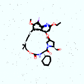 CCOc1cc2c3cc(c(OC)c(I)c3n1)CCCC(C)(C)COC(=O)N[C@@H](C1CCCCC1)C(=O)N1C[C@@H](C[C@H]1C=O)O2